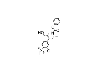 CC1CC(c2ccc(C(F)(F)F)c(Cl)c2)=C(CO)CN1C(=O)Oc1ccccc1